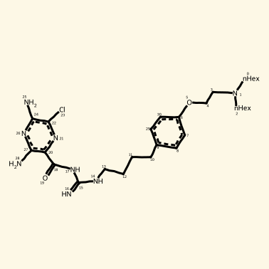 CCCCCCN(CCCCCC)CCOc1ccc(CCCCNC(=N)NC(=O)c2nc(Cl)c(N)nc2N)cc1